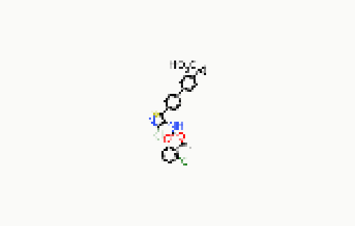 C[C@@H](OC(=O)Nc1c(Cl)nsc1-c1ccc(-c2ccc(C3(C(=O)O)CC3)cc2)cc1)c1ccccc1Cl